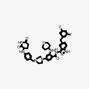 O=C1CCC(Nc2ccc(CN3CCN(c4ccc(C(=O)Nc5n[nH]c6ccc(Cc7cc(F)cc(F)c7)cc56)c(NC5CCOCC5)c4)CC3)cc2)C(=O)N1